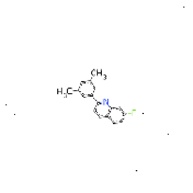 Cc1cc(C)cc(-c2ccc3ccc(F)cc3n2)c1